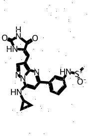 C[S+]([O-])Nc1cccc(-c2cc(NC3CC3)n3ncc(/C=C4\NC(=O)NC4=O)c3n2)c1